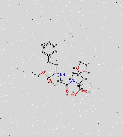 CCOC(=O)C(CCc1ccccc1)N[C@@H](C)C(=O)N1CC2(C[C@H]1C(=O)O)OCCO2